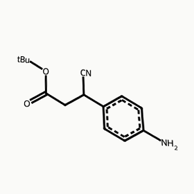 CC(C)(C)OC(=O)CC(C#N)c1ccc(N)cc1